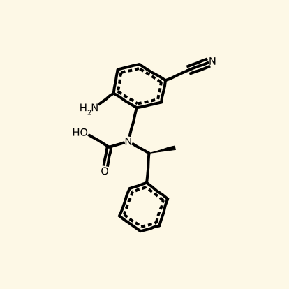 C[C@@H](c1ccccc1)N(C(=O)O)c1cc(C#N)ccc1N